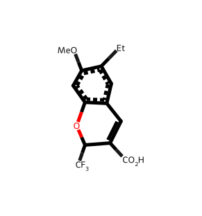 CCc1cc2c(cc1OC)OC(C(F)(F)F)C(C(=O)O)=C2